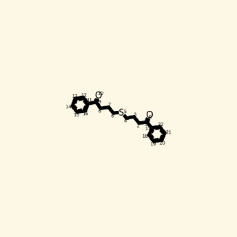 O=C(CCCSCCCC(=O)c1ccccc1)c1ccccc1